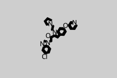 O=C(Cn1cnc2cc(Cl)ccc21)c1cc2ccc(Oc3cccnc3)cc2n1CCN1CCCC1